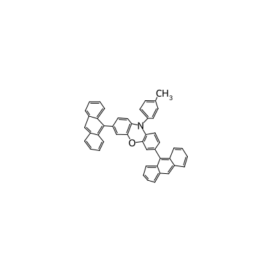 Cc1ccc(N2c3ccc(-c4c5ccccc5cc5ccccc45)cc3Oc3cc(-c4c5ccccc5cc5ccccc45)ccc32)cc1